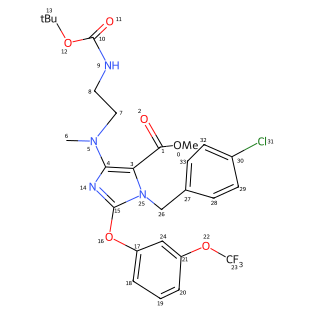 COC(=O)c1c(N(C)CCNC(=O)OC(C)(C)C)nc(Oc2cccc(OC(F)(F)F)c2)n1Cc1ccc(Cl)cc1